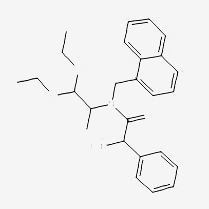 CCOC(OCC)C(C)N(Cc1cccc2ccccc12)C(=O)C(N)c1ccccc1